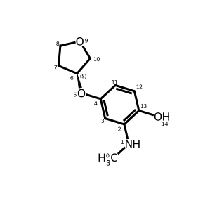 CNc1cc(O[C@H]2CCOC2)ccc1O